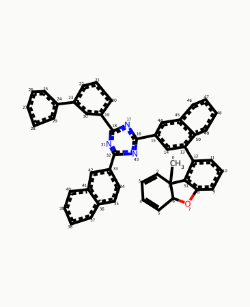 CC12C=CC=CC1Oc1cccc(-c3cc(-c4nc(-c5cccc(-c6ccccc6)c5)nc(-c5ccc6ccccc6c5)n4)cc4ccccc34)c12